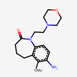 COc1c(N)ccc2c1CCCC(=O)N2CCN1CCOCC1